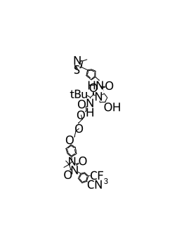 Cc1ncsc1-c1ccc(CNC(=O)[C@@H]2C[C@@H](O)CN2C(=O)C(NC(=O)COCCOCCOc2ccc(N3C(=O)N(c4ccc(C#N)c(C(F)(F)F)c4)C(=O)C3(C)C)cc2)C(C)(C)C)cc1